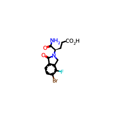 NC(=O)[C@@H](CCC(=O)O)N1Cc2c(ccc(Br)c2F)C1=O